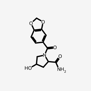 NC(=O)C1CC(O)CN1C(=O)c1ccc2c(c1)OCO2